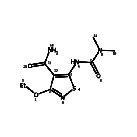 CCOc1nsc(NC(=O)N(C)C)c1C(N)=O